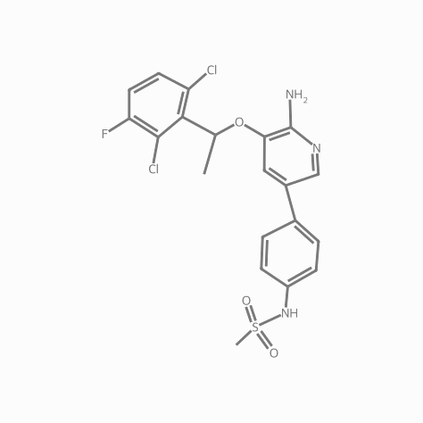 CC(Oc1cc(-c2ccc(NS(C)(=O)=O)cc2)cnc1N)c1c(Cl)ccc(F)c1Cl